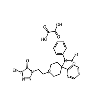 CCC(=O)N(c1ccccc1)C1(c2ccccn2)CCN(CCn2nnn(CC)c2=O)CC1.O=C(O)C(=O)O